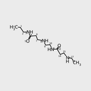 CCCNC(=O)CCNCCNC(=O)CCNCC